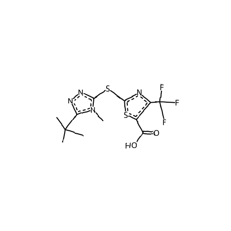 Cn1c(Sc2nc(C(F)(F)F)c(C(=O)O)s2)nnc1C(C)(C)C